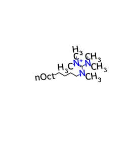 CCCCCCCCCCCCN(C)C(N(C)C)=[N+](C)C